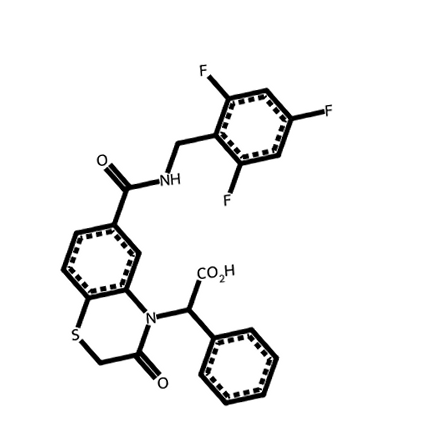 O=C(NCc1c(F)cc(F)cc1F)c1ccc2c(c1)N(C(C(=O)O)c1ccccc1)C(=O)CS2